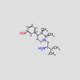 CC(C)[C@@H](N)CN1CC[C@@H](c2cccc(O)c2)[C@@H](C)C1C